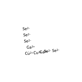 [Cu+2].[Cu+2].[Ga+3].[Ga+3].[Se-2].[Se-2].[Se-2].[Se-2].[Se-2]